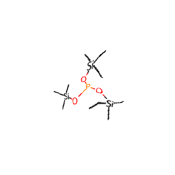 C[Si](C)(C)OP(O[Si](C)(C)C)O[Si](C)(C)C